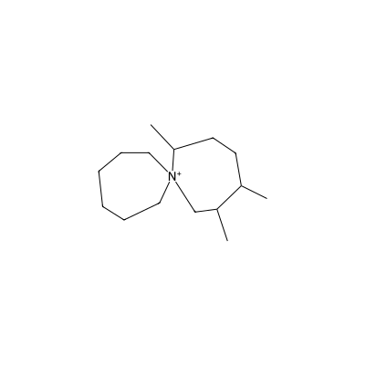 CC1CCC(C)[N+]2(CCCCCC2)CC1C